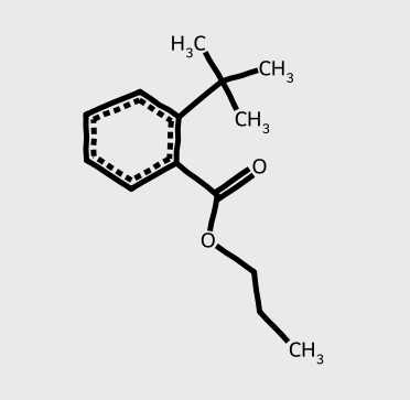 CCCOC(=O)c1ccccc1C(C)(C)C